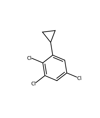 Clc1cc(Cl)c(Cl)c(C2CC2)c1